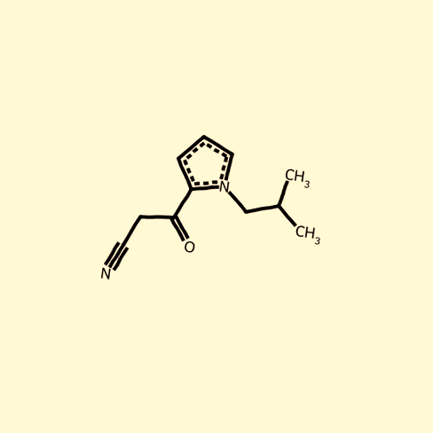 CC(C)Cn1cccc1C(=O)CC#N